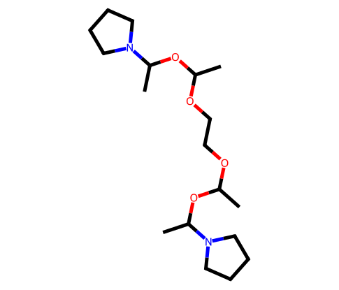 CC(OCCOC(C)OC(C)N1CCCC1)OC(C)N1CCCC1